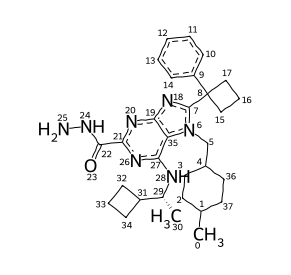 CC1CCC(Cn2c(C3(c4ccccc4)CCC3)nc3nc(C(=O)NN)nc(N[C@H](C)C4CCC4)c32)CC1